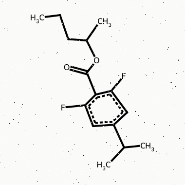 CCCC(C)OC(=O)c1c(F)cc(C(C)C)cc1F